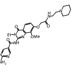 CCn1c(NC(=O)c2cnc(N)nc2)nc2c(OC)c(OCC(=O)NCCN3CCCCC3)ccc2c1=O